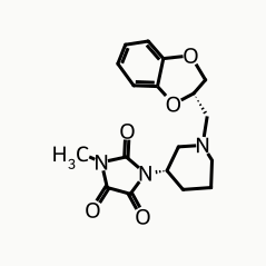 CN1C(=O)C(=O)N([C@H]2CCCN(C[C@H]3COc4ccccc4O3)C2)C1=O